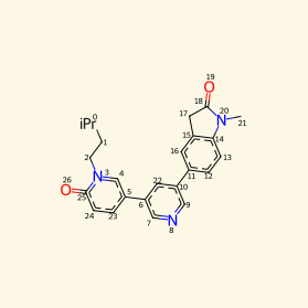 CC(C)CCn1cc(-c2cncc(-c3ccc4c(c3)CC(=O)N4C)c2)ccc1=O